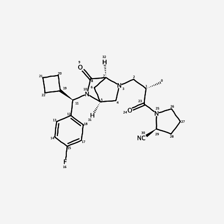 C[C@@H](CN1C[C@@H]2C[C@H]1C(=O)N2[C@@H](c1ccc(F)cc1)C1CCC1)C(=O)N1CCC[C@H]1C#N